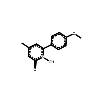 COc1ccc(-c2cc(C)cc(=O)n2O)cc1